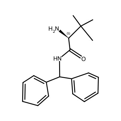 CC(C)(C)[C@H](N)C(=O)NC(c1ccccc1)c1ccccc1